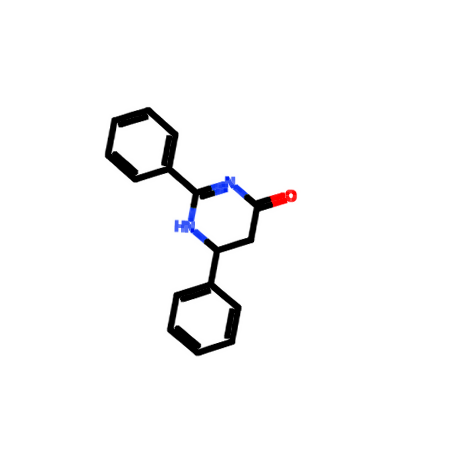 O=C1CC(c2ccccc2)NC(c2ccccc2)=N1